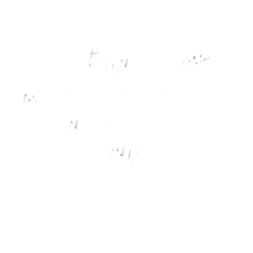 C=C/C(OC)=C(\C(C#N)=N/C(=C)C#N)[N+](=O)[O-]